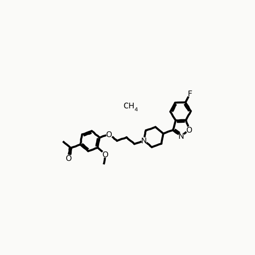 C.COc1cc(C(C)=O)ccc1OCCCN1CCC(c2noc3cc(F)ccc23)CC1